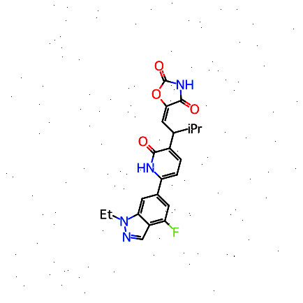 CCn1ncc2c(F)cc(-c3ccc(C(C=C4OC(=O)NC4=O)C(C)C)c(=O)[nH]3)cc21